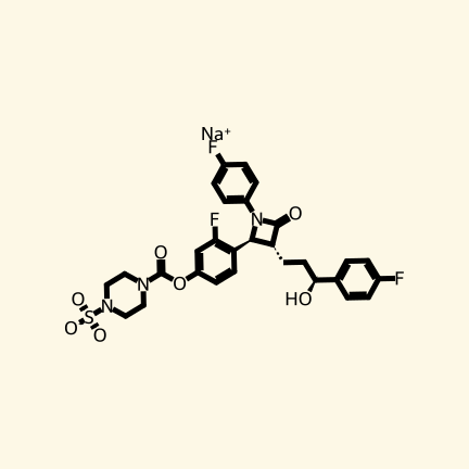 O=C(Oc1ccc([C@@H]2[C@@H](CC[C@H](O)c3ccc(F)cc3)C(=O)N2c2ccc(F)cc2)c(F)c1)N1CCN(S(=O)(=O)[O-])CC1.[Na+]